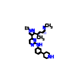 C=N/C=C\C=C(/C)c1nn(CC)cc1-c1ccnc(Nc2cccc(C3CCNCC3)c2)n1